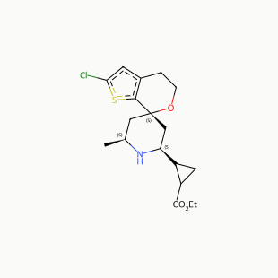 CCOC(=O)C1CC1[C@@H]1C[C@]2(C[C@H](C)N1)OCCc1cc(Cl)sc12